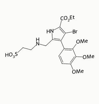 CCOC(=O)c1[nH]c(CNCCS(=O)(=O)O)c(-c2ccc(OC)c(OC)c2OC)c1Br